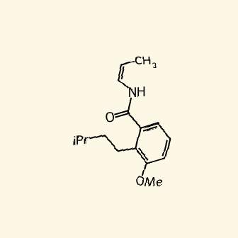 C/C=C\NC(=O)c1cccc(OC)c1CCC(C)C